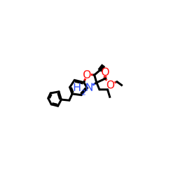 C#CC(Oc1ccc(Cc2ccccc2)cc1)C(N)(CCC)C(=O)OCC